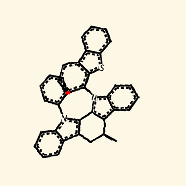 CC1Cc2c(n(-c3ccccc3)c3ccccc23)-c2c1c1ccccc1n2-c1cccc2c1sc1ccccc12